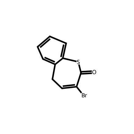 O=C1Sc2ccccc2CC=C1Br